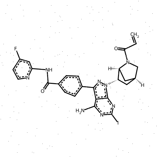 C=CC(=O)N1C[C@@H]2C[C@H]1[C@@H](n1nc(-c3ccc(C(=O)Nc4cc(F)ccn4)cc3)c3c(N)nc(I)nc31)C2